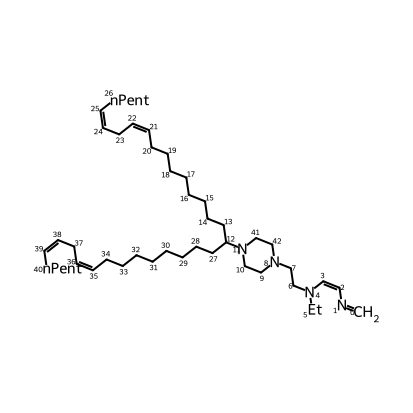 C=N/C=C\N(CC)CCN1CCN(C(CCCCCCCC/C=C\C/C=C\CCCCC)CCCCCCCC/C=C\C/C=C\CCCCC)CC1